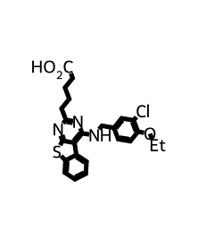 CCOc1ccc(CNc2nc(CCCCC(=O)O)nc3sc4ccccc4c23)cc1Cl